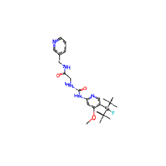 COc1cc(NC(=O)NCC(=O)NCc2cccnc2)ncc1[Si](F)(C(C)(C)C)C(C)(C)C